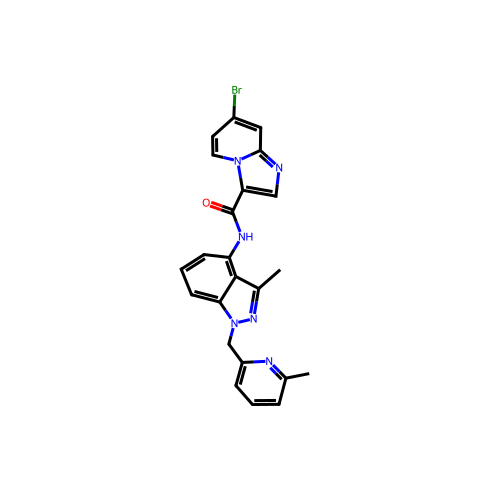 Cc1cccc(Cn2nc(C)c3c(NC(=O)c4cnc5cc(Br)ccn45)cccc32)n1